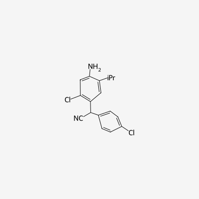 CC(C)c1cc(C(C#N)c2ccc(Cl)cc2)c(Cl)cc1N